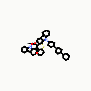 c1ccc(-c2ccc(-c3ccc(-n4c5ccccc5c5ccc6c(c54)Sc4ccccc4C64c5ccccc5-n5c6ccccc6c6cccc4c65)cc3)cc2)cc1